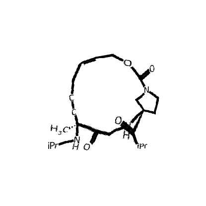 CC(C)N[C@@]1(C)CCCC=CCOC(=O)N2CC[C@@](C(=O)C(C)C)(C2)NCC1=O